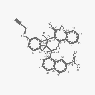 C#CCOc1ccc2c(c1)[C@]1(C)c3c(c4ccccc4oc3=O)OC(c3cccc4ccc([N+](=O)[O-])cc34)(N2)C1(C)C